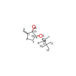 C=C1CC[C@H](O[Si](C)(C)C(C)(C)C)C1=O